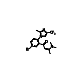 CC(=CC(=O)c1cc(Br)ccc1-n1cc(C(F)(F)F)nc1C)N(C)C